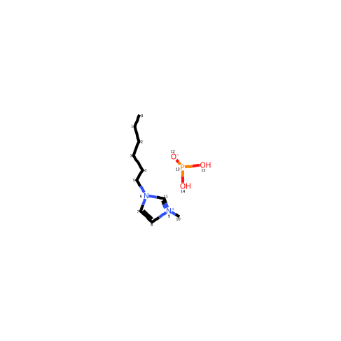 CCCCCCn1cc[n+](C)c1.[O-]P(O)O